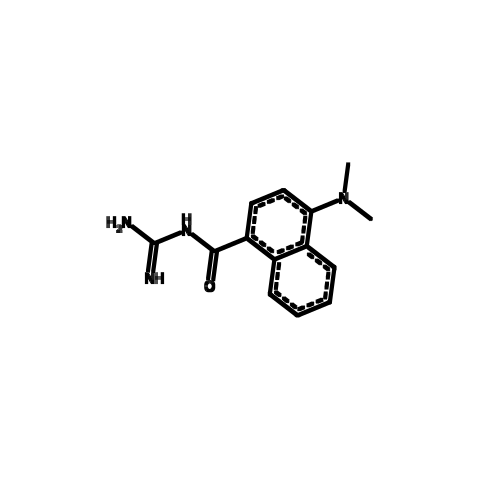 CN(C)c1ccc(C(=O)NC(=N)N)c2ccccc12